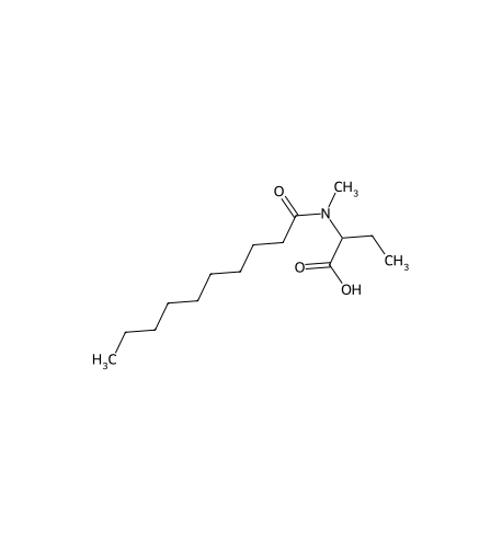 CCCCCCCCCC(=O)N(C)C(CC)C(=O)O